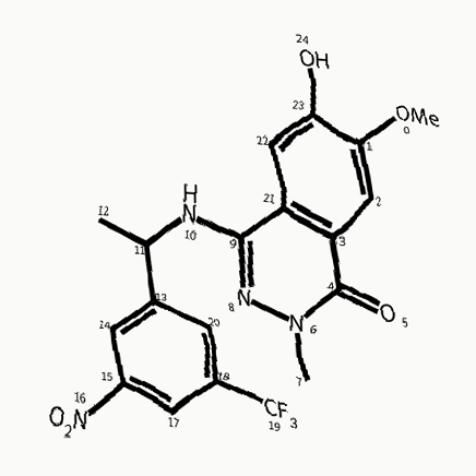 COc1cc2c(=O)n(C)nc(NC(C)c3cc([N+](=O)[O-])cc(C(F)(F)F)c3)c2cc1O